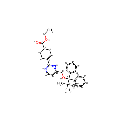 CCOC(=O)C1CC=C(c2nccc(CO[Si](c3ccccc3)(c3ccccc3)C(C)(C)C)n2)CC1